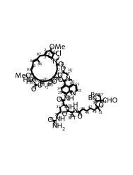 COc1cc2cc(c1Cl)N(C)C(=O)C[C@H](OC(=O)[C@H](C)N(C)C(=O)c1ccc(NC(=O)[C@H](CCCNC(N)=O)NC(=O)[C@@H](NC(=O)CCCCC(C)(C)OC(C=O)(CBr)CBr)C(C)C)c3ncccc13)[C@]1(C)O[C@H]1[C@H](C)[C@@H]1C[C@@](O)(NC(=O)O1)[C@H](OC)/C=C/C=C(\C)C2